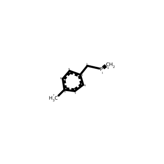 C=PCc1ccc(C)cc1